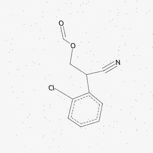 N#CC(COC=O)c1ccccc1Cl